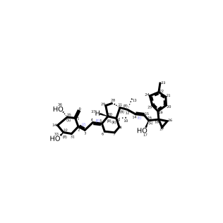 C=C1/C(=C\C=C2/CCC[C@]3(C)[C@@H]([C@H](C)/C=C/[C@H](O)C4(c5ccc(C)cc5)CC4)CC[C@@H]23)C[C@@H](O)C[C@@H]1O